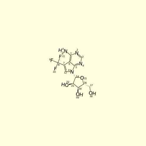 Nc1ncnc2c1c(C(F)(F)F)cn2[C@@H]1O[C@H](CO)[C@@H](O)[C@H]1O